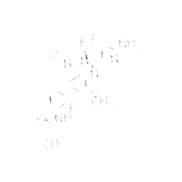 CCC[S+]([O-])Nc1cccc(-c2cc(OC)c3nc(-c4cnc(N)cc4C(F)(F)F)nc(N4CCOCC4)c3c2)c1F